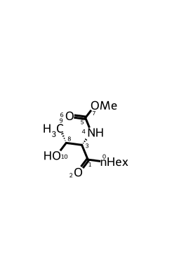 CCCCCCC(=O)[C@@H](NC(=O)OC)[C@@H](C)O